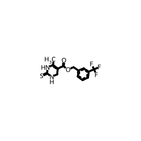 CC1=C(C(=O)OCc2cccc(C(F)(F)F)c2)CNC(=S)N1